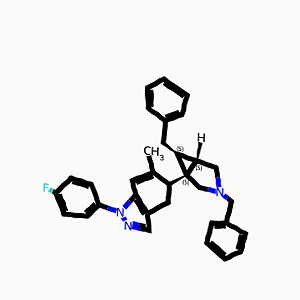 CC1=Cc2c(cnn2-c2ccc(F)cc2)CC1[C@]12CN(Cc3ccccc3)C[C@H]1[C@@H]2Cc1ccccc1